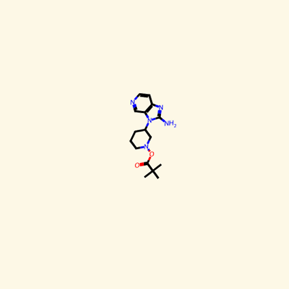 CC(C)(C)C(=O)ON1CCCC(n2c(N)nc3ccncc32)C1